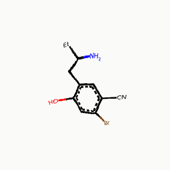 CCC(N)Cc1cc(C#N)c(Br)cc1O